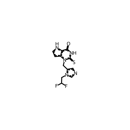 O=c1[nH]c(=S)n(Cc2cncn2CC(F)F)c2cc[nH]c12